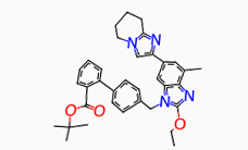 CCOc1nc2c(C)cc(-c3cn4c(n3)CCCC4)cc2n1Cc1ccc(-c2ccccc2C(=O)OC(C)(C)C)cc1